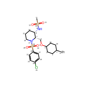 CC(C)C1CCC(OC[C@H]2[C@@H](NS(C)(=O)=O)CCCN2S(=O)(=O)c2ccc(Cl)cc2)CC1